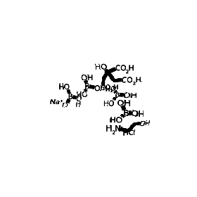 Cl.NCCO.O=C(O)CC(O)(CC(=O)O)C(=O)O.OB(O)O.OB(O)O.OB(O)O.[Na+].[O-]B(O)O